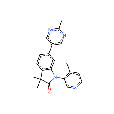 Cc1ncc(-c2ccc3c(c2)N(c2cnccc2C)C(=O)C3(C)C)cn1